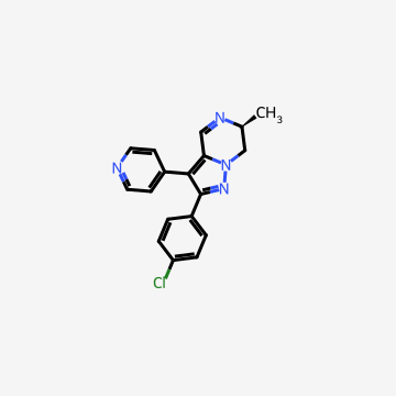 C[C@H]1Cn2nc(-c3ccc(Cl)cc3)c(-c3ccncc3)c2C=N1